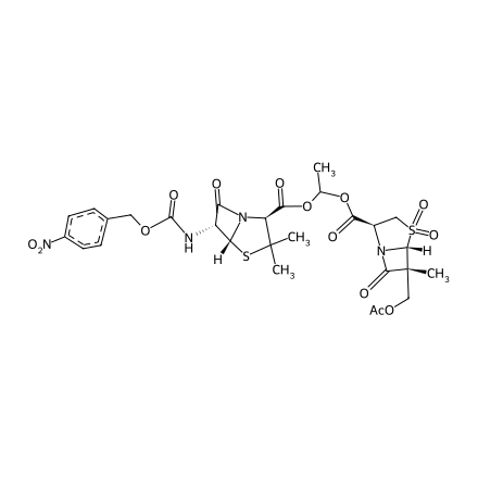 CC(=O)OC[C@]1(C)C(=O)N2[C@@H](C(=O)OC(C)OC(=O)[C@@H]3N4C(=O)[C@@H](NC(=O)OCc5ccc([N+](=O)[O-])cc5)[C@H]4SC3(C)C)CS(=O)(=O)[C@@H]21